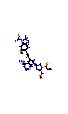 C=CC(=O)N1CC(n2cc(C#Cc3cc4nc(C)n(C(F)F)c4cc3Cl)c3c(N)ncnc32)C[C@@H]1COC